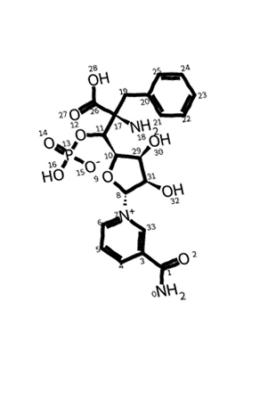 NC(=O)c1ccc[n+]([C@@H]2O[C@@H](C(OP(=O)([O-])O)[C@@](N)(Cc3ccccc3)C(=O)O)[C@@H](O)[C@H]2O)c1